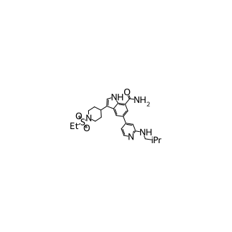 CCS(=O)(=O)N1CCC(c2c[nH]c3c(C(N)=O)cc(-c4ccnc(NCC(C)C)c4)cc23)CC1